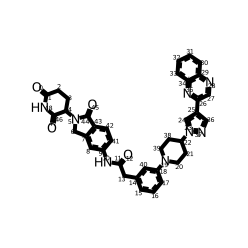 O=C1CCC(N2Cc3cc(NC(=O)Cc4cccc(N5CCC(n6cc(-c7cnc8ccccc8n7)cn6)CC5)c4)ccc3C2=O)C(=O)N1